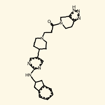 O=C(CCN1CCC(c2cnc(NC3Cc4ccccc4C3)nc2)CC1)N1CCc2nn[nH]c2C1